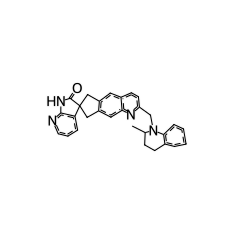 CC1CCc2ccccc2N1Cc1ccc2cc3c(cc2n1)CC1(C3)C(=O)Nc2ncccc21